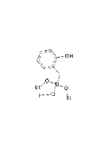 CCO[Si](Cc1ccccc1O)(OCC)OCC